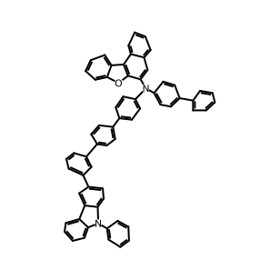 c1ccc(-c2ccc(N(c3ccc(-c4ccc(-c5cccc(-c6ccc7c(c6)c6ccccc6n7-c6ccccc6)c5)cc4)cc3)c3cc4ccccc4c4c3oc3ccccc34)cc2)cc1